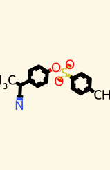 Cc1ccc(S(=O)(=O)Oc2ccc(C(C)C#N)cc2)cc1